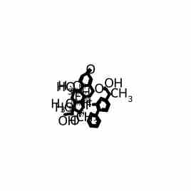 CC(C(=O)O)c1ccc(-c2ccccc2)c(F)c1.C[C@@H]1C[C@H]2[C@@H]3CCC4=CC(=O)C=C[C@]4(C)[C@@]3(F)[C@@H](O)C[C@]2(C)[C@@]1(O)C(=O)CO